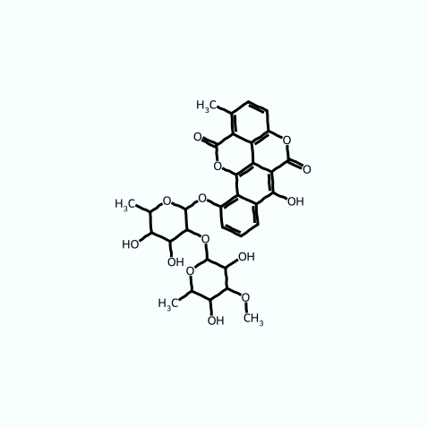 COC1C(O)C(C)OC(OC2C(Oc3cccc4c(O)c5c(=O)oc6ccc(C)c7c(=O)oc(c34)c5c67)OC(C)C(O)C2O)C1O